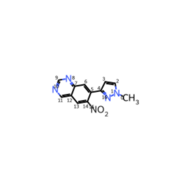 Cn1ccc(-c2cc3ncncc3cc2[N+](=O)[O-])n1